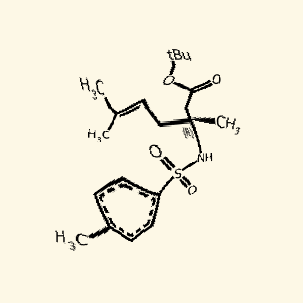 CC(C)=CC[C@@](C)(NS(=O)(=O)c1ccc(C)cc1)C(=O)OC(C)(C)C